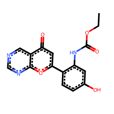 CCOC(=O)Nc1cc(O)ccc1-c1cc(=O)c2cncnc2o1